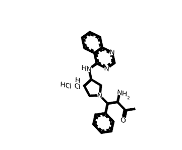 CC(=O)C(N)C(c1ccccc1)N1CCC(Nc2ncnc3ccccc23)C1.Cl.Cl